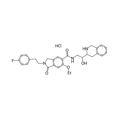 CCOc1cc2c(cc1C(=O)NCC(O)C1Cc3ccccc3CN1)CN(CCc1ccc(F)cc1)C2=O.Cl